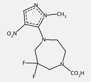 Cn1ncc([N+](=O)[O-])c1N1CCN(C(=O)O)CC(F)(F)C1